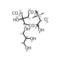 C[N+](C)(C)CCO.O=C(O)CC(O)(CC(=O)O)C(=O)O.OCC(O)CO.[Cl-]